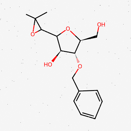 CC1(C)OC1C1O[C@@H](CO)[C@H](OCc2ccccc2)[C@H]1O